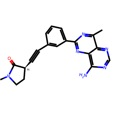 Cc1nc(-c2cccc(C#C[C@H]3CCN(C)C3=O)c2)nc2c(N)ncnc12